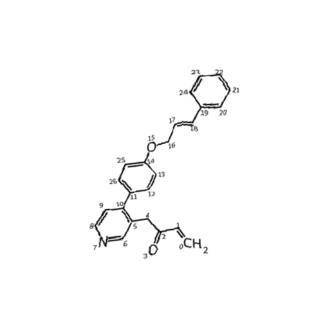 C=CC(=O)Cc1cnccc1-c1ccc(OCC=Cc2ccccc2)cc1